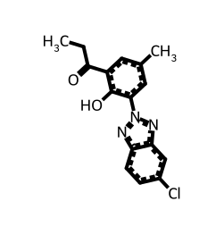 CCC(=O)c1cc(C)cc(-n2nc3ccc(Cl)cc3n2)c1O